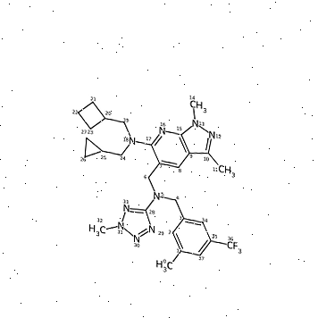 Cc1cc(CN(Cc2cc3c(C)nn(C)c3nc2N(CC2CCC2)CC2CC2)c2nnn(C)n2)cc(C(F)(F)F)c1